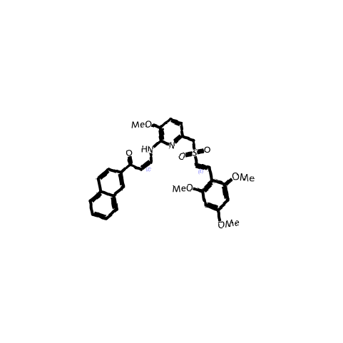 COc1cc(OC)c(/C=C/S(=O)(=O)Cc2ccc(OC)c(N/C=C\C(=O)c3ccc4ccccc4c3)n2)c(OC)c1